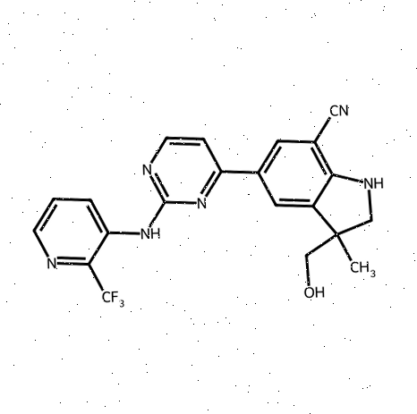 CC1(CO)CNc2c(C#N)cc(-c3ccnc(Nc4cccnc4C(F)(F)F)n3)cc21